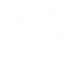 C=N/C=C(\C=N/N1CCC(C2CC2CCCc2ccc(CC(C)N3CCC3)cc2)CC1)CCC